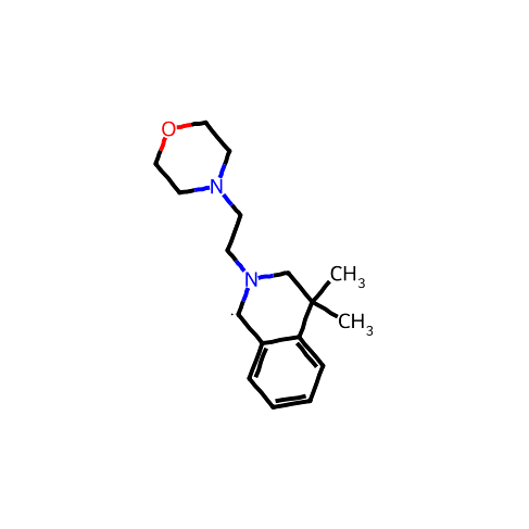 CC1(C)CN(CCN2CCOCC2)[CH]c2ccccc21